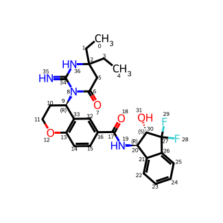 CCC1(CC)CC(=O)N([C@@H]2CCOc3ccc(C(=O)N[C@@H]4c5ccccc5C(F)(F)[C@H]4O)cc32)C(=N)N1